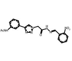 CC(=O)Nc1cccc(-c2cn(CC(=O)N/N=C/c3ccccc3[N+](=O)[O-])nn2)c1